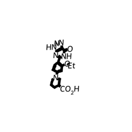 CCOc1cc(N2CCCC(C(=O)O)C2)ccc1-c1nc2[nH]nnc2c(=O)[nH]1